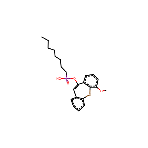 CCCCCCCCP(=O)(O)OC1=Cc2ccccc2Sc2c(OC)cccc21